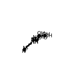 [N-]=[N+]=NCCCCCCNc1ncnc2c1ncn2[C@H]1C[C@H](O)[C@@H](COP(=O)(O)O)O1